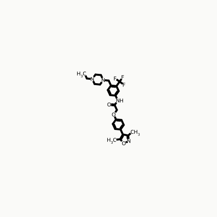 CCN1CCN(Cc2ccc(NC(=O)COc3ccc(-c4c(C)noc4C)cc3)cc2C(F)(F)F)CC1